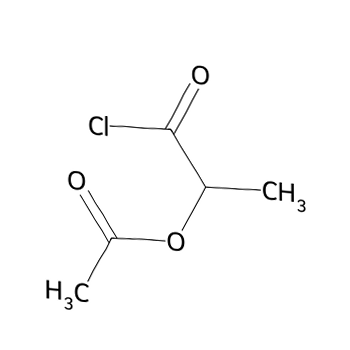 CC(=O)OC(C)C(=O)Cl